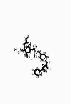 CCc1cn2c(N)c(N)cc(C(=O)NCC3CCN(Cc4cnc(-c5ccccn5)s4)CC3)c2n1